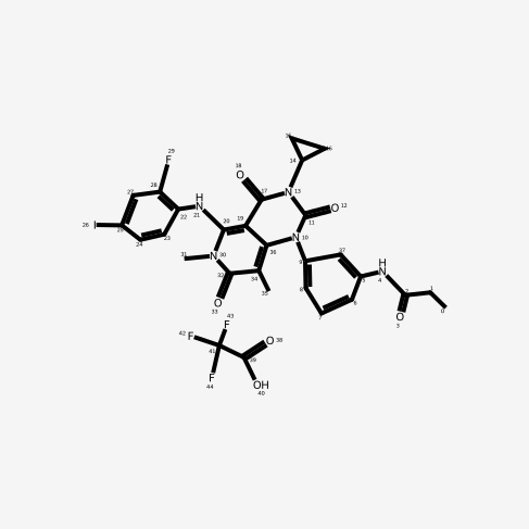 CCC(=O)Nc1cccc(-n2c(=O)n(C3CC3)c(=O)c3c(Nc4ccc(I)cc4F)n(C)c(=O)c(C)c32)c1.O=C(O)C(F)(F)F